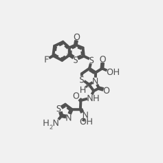 Nc1nc(C(=NO)C(=O)NC2C(=O)N3C(C(=O)O)=C(Sc4cc(=O)c5ccc(F)cc5s4)CS[C@@H]23)cs1